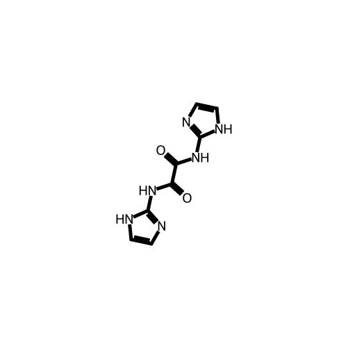 O=C(Nc1ncc[nH]1)C(=O)Nc1ncc[nH]1